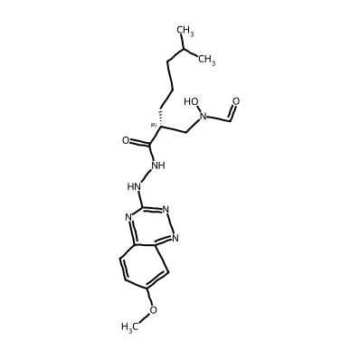 COc1ccc2nc(NNC(=O)[C@H](CCCC(C)C)CN(O)C=O)nnc2c1